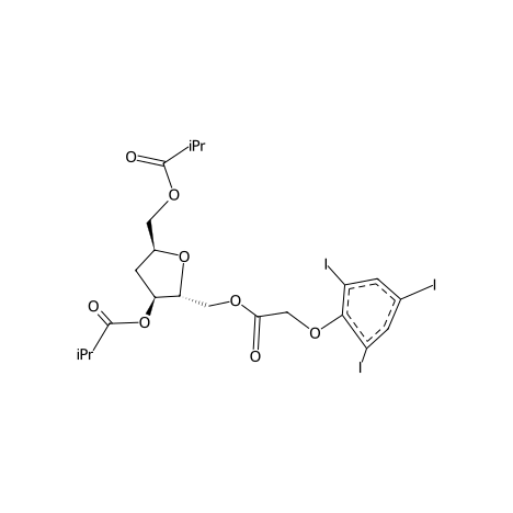 CC(C)C(=O)OC[C@@H]1C[C@H](OC(=O)C(C)C)[C@@H](COC(=O)COc2c(I)cc(I)cc2I)O1